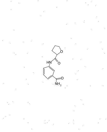 NC(=O)c1cccc(NC(=O)C2CCCO2)c1